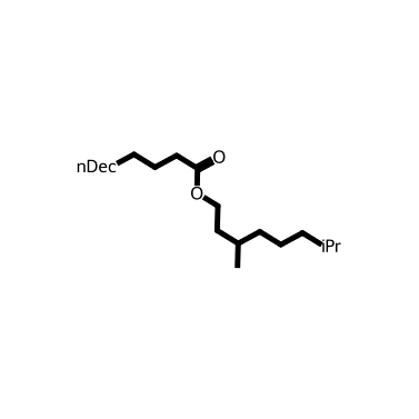 CCCCCCCCCCCCCC(=O)OCCC(C)CCCC(C)C